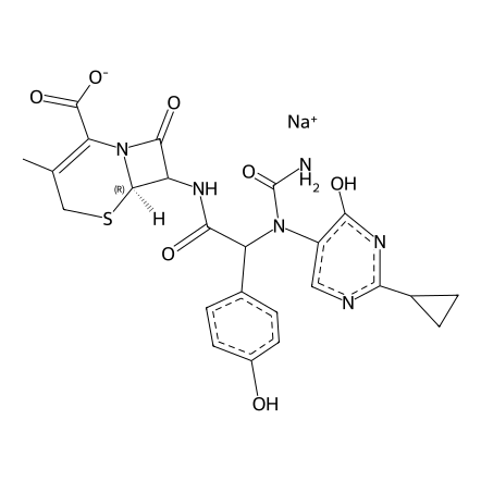 CC1=C(C(=O)[O-])N2C(=O)C(NC(=O)C(c3ccc(O)cc3)N(C(N)=O)c3cnc(C4CC4)nc3O)[C@H]2SC1.[Na+]